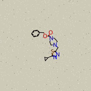 O=C(OCc1ccccc1)N1CCN(Cc2nnc(C3CC3)s2)CC1